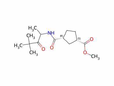 COC(=O)[C@H]1CC[C@@H](C(=O)NC(C)C(=O)C(C)(C)C)C1